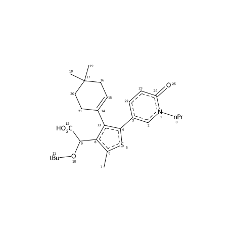 CCCn1cc(-c2sc(C)c(C(OC(C)(C)C)C(=O)O)c2C2=CCC(C)(C)CC2)ccc1=O